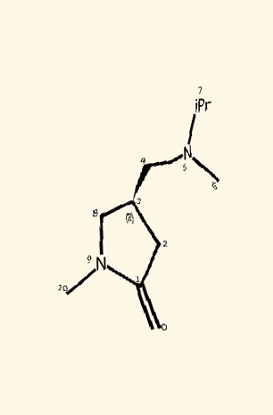 C=C1C[C@H](CN(C)C(C)C)CN1C